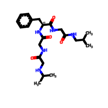 CC(C)CNC(=O)CNC(=O)[C@H](Cc1ccccc1)NC(=O)CNC(=O)CNC(C)C